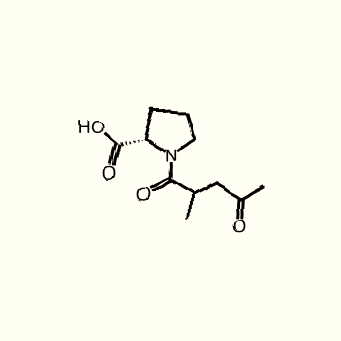 CC(=O)CC(C)C(=O)N1CCC[C@H]1C(=O)O